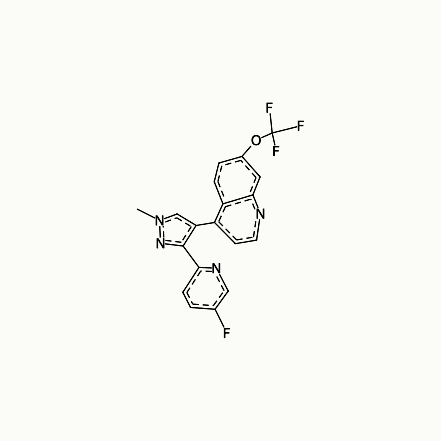 Cn1cc(-c2ccnc3cc(OC(F)(F)F)ccc23)c(-c2ccc(F)cn2)n1